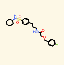 O=C(COCc1ccc(F)cc1)NCCCc1ccc(S(=O)(=O)NC2CCCCC2)cc1